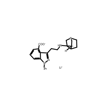 CC(C)n1nc(CCN[C@@H]2CN3CCC2CC3)c2c(C(=O)[O-])cccc21.[Li+]